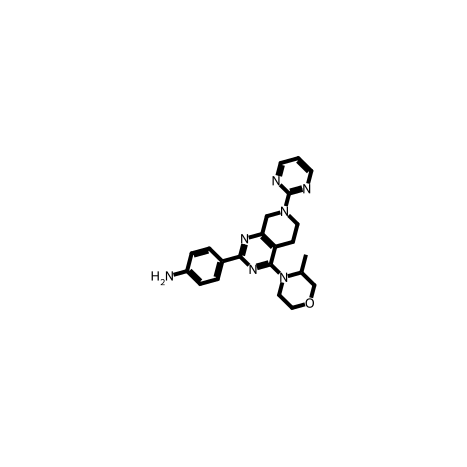 CC1COCCN1c1nc(-c2ccc(N)cc2)nc2c1CCN(c1ncccn1)C2